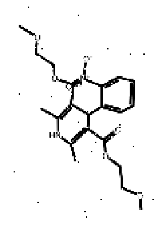 COCCOC(=O)C1=C(C)NC(C)=C(C(=O)OCCOC)C1c1ccccc1[N+](=O)[O-]